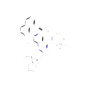 [2H]C([2H])(Oc1nc(N2CCOC[C@H]3[C@H](F)[C@H]32)c2c(OC)nc(-c3cccc4ccc(F)c(C#C)c34)c(F)c2n1)[C@@]12CCCN1C[C@H](F)C2